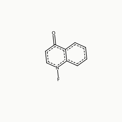 O=c1ccn(F)c2ccccc12